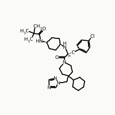 CC(C)(C)C(=O)N[C@H]1CC[C@@H](N[C@H](Cc2ccc(Cl)cc2)C(=O)N2CCC(Cn3cncn3)(C3CCCCC3)CC2)CC1